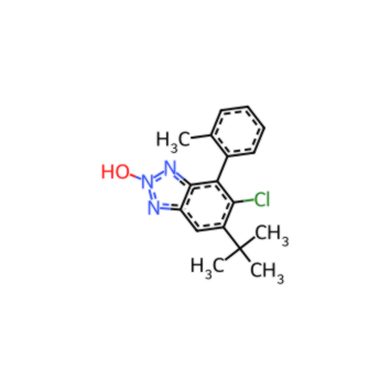 Cc1ccccc1-c1c(Cl)c(C(C)(C)C)cc2nn(O)nc12